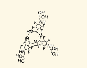 OCC(O)CNc1c(F)c(F)c(C2=C3C=CC(=N3)C(c3c(F)c(F)c(NCC(O)CO)c(F)c3F)=C3C=CC(=N3)c3ccc([nH]3)C(c3c(F)c(F)c(NCC(O)CO)c(F)c3F)=C3C=CC2=N3)c(F)c1F